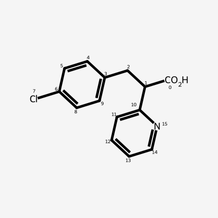 O=C(O)C(Cc1ccc(Cl)cc1)c1ccccn1